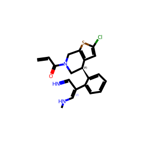 C=CC(=O)N1Cc2sc(Cl)cc2[C@@H](c2ccccc2/C(C=N)=C/NC)C1